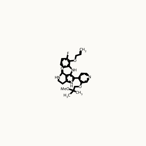 C=CCOc1c(F)cccc1Nc1c(-c2ccncc2OCC(C)(C)OC)[nH]c2c1C(=O)NCC2